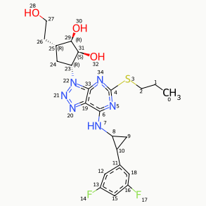 CCCSc1nc(NC2CC2c2cc(F)cc(F)c2)c2nnn([C@@H]3C[C@H](CCO)[C@@H](O)[C@H]3O)c2n1